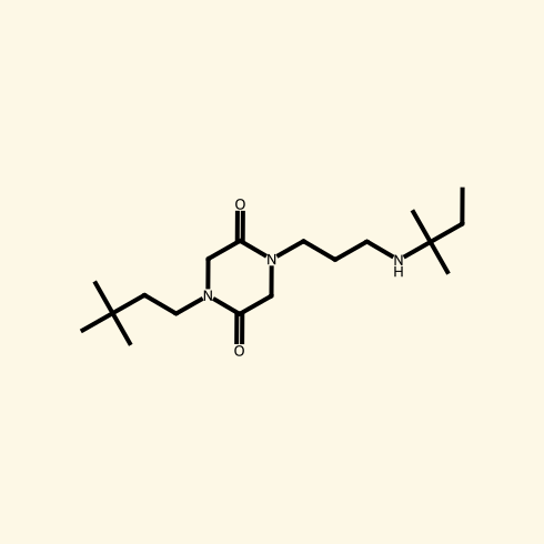 CCC(C)(C)NCCCN1CC(=O)N(CCC(C)(C)C)CC1=O